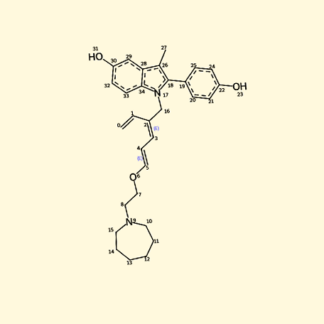 C=C/C(=C\C=C\OCCN1CCCCCC1)Cn1c(-c2ccc(O)cc2)c(C)c2cc(O)ccc21